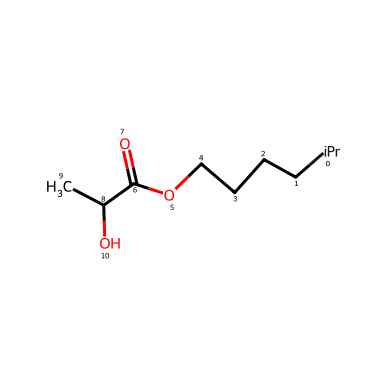 CC(C)CCCCOC(=O)C(C)O